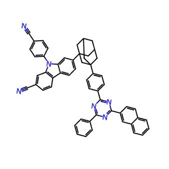 N#Cc1ccc(-n2c3cc(C#N)ccc3c3ccc(C45CC6CC(CC(c7ccc(-c8nc(-c9ccccc9)nc(-c9ccc%10ccccc%10c9)n8)cc7)(C6)C4)C5)cc32)cc1